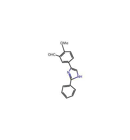 COc1ccc(-c2c[nH]c(-c3ccccc3)n2)cc1C=O